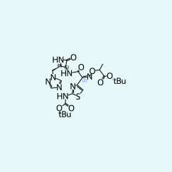 CC(O/N=C(\C(=O)N[C@@H]1C(=O)N[C@@H]1Cn1cncn1)c1csc(NC(=O)OC(C)(C)C)n1)C(=O)OC(C)(C)C